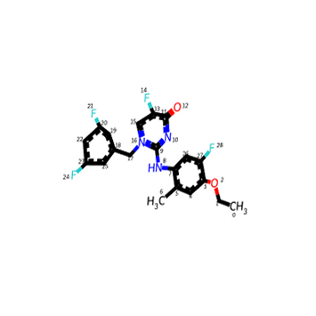 CCOc1cc(C)c(Nc2nc(=O)c(F)cn2Cc2cc(F)cc(F)c2)cc1F